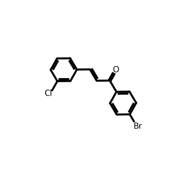 O=C(/C=C/c1cccc(Cl)c1)c1ccc(Br)cc1